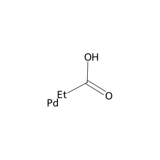 CCC(=O)O.[Pd]